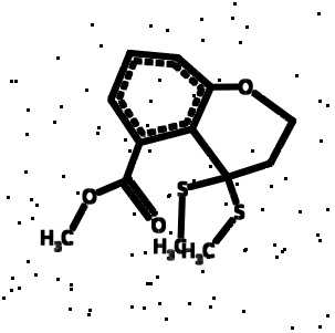 COC(=O)c1cccc2c1C(SC)(SC)CCO2